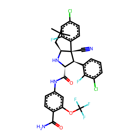 CC(C)(C)C[C@@H]1N[C@@H](C(=O)Nc2ccc(C(N)=O)c(OC(F)(F)F)c2)[C@H](c2cccc(Cl)c2F)[C@@]1(C#N)c1ccc(Cl)cc1F